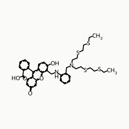 CCSCCSCCN(CCSCCSCC)Cc1ccccc1NCc1c(O)ccc2c(-c3ccccc3C(=O)O)c3ccc(=O)cc-3oc12